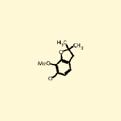 COc1c(Cl)ccc2c1OC(C)(C)C2